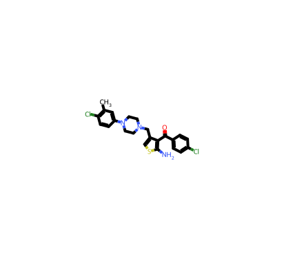 Cc1cc(N2CCN(Cc3csc(N)c3C(=O)c3ccc(Cl)cc3)CC2)ccc1Cl